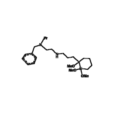 COC1(CCCNCCN(Cc2ccccc2)C(C)C)CCCC[Si]1(OC)OC